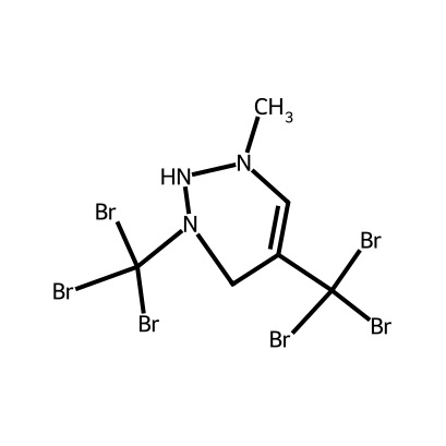 CN1C=C(C(Br)(Br)Br)CN(C(Br)(Br)Br)N1